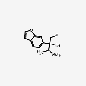 CN[C@@H](C)[C@@](O)(CF)c1ccc2ccoc2c1